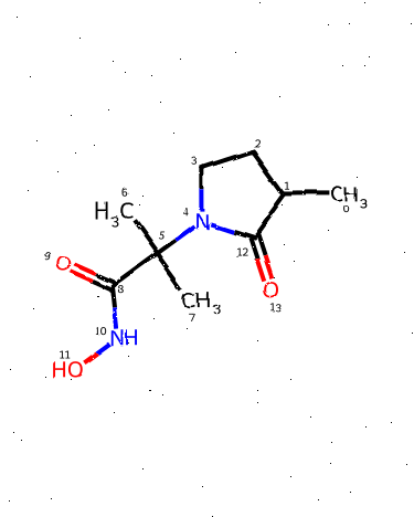 CC1CCN(C(C)(C)C(=O)NO)C1=O